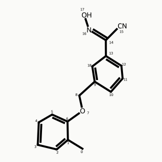 Cc1ccccc1OCc1cccc(C(C#N)=NO)c1